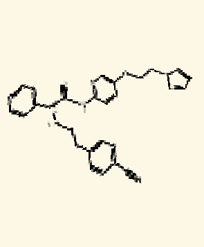 N#Cc1ccc(CCN[C@H](C(=O)Nc2ccc(OCCn3cccn3)cn2)c2ccccc2)cc1